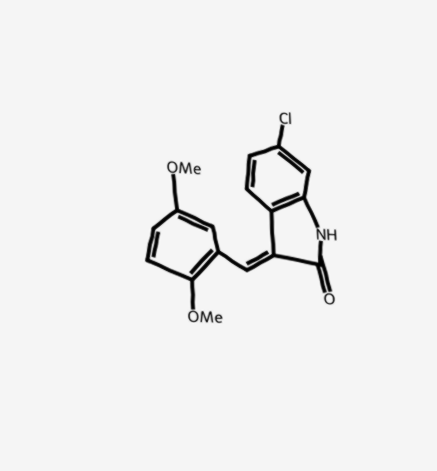 COc1ccc(OC)c(/C=C2/C(=O)Nc3cc(Cl)ccc32)c1